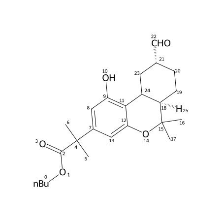 CCCCOC(=O)C(C)(C)c1cc(O)c2c(c1)OC(C)(C)[C@@H]1CC[C@@H](C=O)CC21